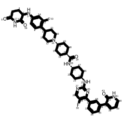 O=C1CCC(Nc2ccc(C3CCN([C@H]4CC[C@H](C(=O)N[C@H]5CC[C@H](Nc6ncc(F)c(-c7cccc(-c8ccc[nH]c8=O)c7)n6)CC5)CC4)CC3)c(F)c2)C(=O)N1